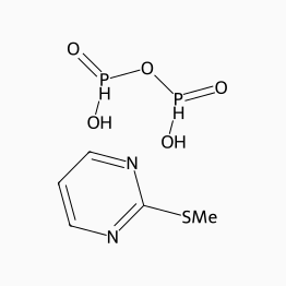 CSc1ncccn1.O=[PH](O)O[PH](=O)O